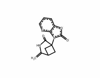 C=C1NC(=O)C2(n3c(=O)oc4cccnc43)CC1C2